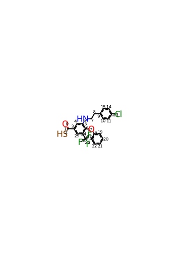 O=C(S)c1cc(NCCc2ccc(Cl)cc2)c(Oc2ccccc2)c(C(F)(F)F)c1